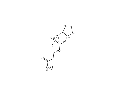 C=C(CCOC1C2CC(C3CCCC32)C1(C)C)C(=O)O